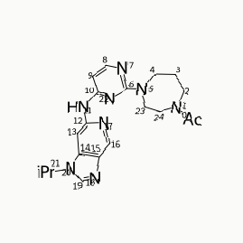 CC(=O)N1CCCN(c2nccc(Nc3cc4c(cn3)ncn4C(C)C)n2)CC1